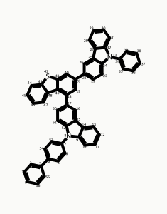 c1ccc(-c2ccc(-n3c4ccccc4c4cc(-c5cc(-c6ccc7c(c6)c6ccccc6n7-c6ccccc6)cc6sc7ccccc7c56)ccc43)cc2)cc1